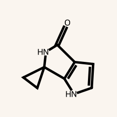 O=C1NC2(CC2)c2[nH]ccc21